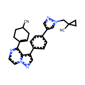 N#CC1CC=C(c2nccn3ncc(-c4ccc(-c5cnn(CC6(C#N)CC6)c5)cc4)c23)CC1